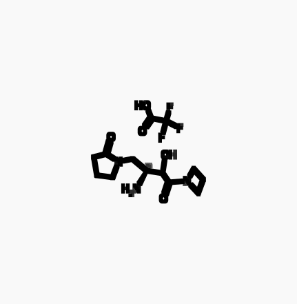 N[C@@H](CN1CCCC1=O)C(O)C(=O)N1CCC1.O=C(O)C(F)(F)F